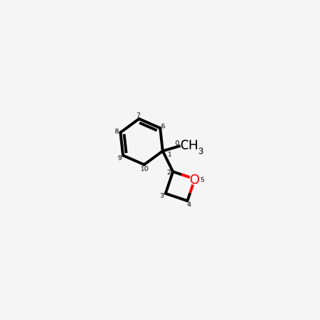 CC1(C2CCO2)C=CC=CC1